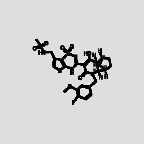 COc1cc(CN2C(=O)C(C3=NS(=O)(=O)c4c(CNS(C)(=O)=O)csc4N3)=C(O)[C@@H]3[C@@H]4CC[C@@H](C4)[C@@H]32)ccc1F